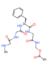 CC(C)NCC(=O)NCC(=O)N[C@@H](Cc1ccccc1)C(=O)NCC(=O)NCOC(=O)C(C)C